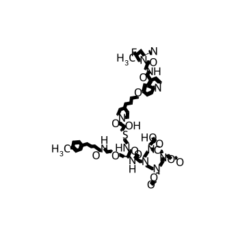 Cc1ccc(CCCC(=O)NCCOCC[C@H](NC(=O)CN2CCN(COC=O)CCN(COC=O)CCN(CC(=O)O)CC2)C(=O)NCCSC[C@@H](O)C(=O)N2CCC(CCCCOc3ccc4nccc(C(=O)NCC(=O)N5CC(C)(F)C[C@@H]5C#N)c4c3)CC2)cc1